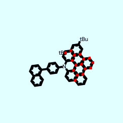 CC(C)(C)c1cc(-c2cccc3cccc(-c4ccccc4N(c4ccc(-c5cccc6ccccc56)cc4)c4ccccc4-c4cccc5cccc(-c6ccccc6)c45)c23)cc(C(C)(C)C)c1